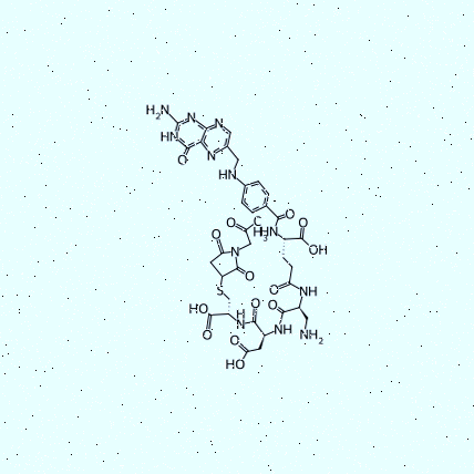 CC(=O)CN1C(=O)CC(SC[C@H](NC(=O)[C@H](CC(=O)O)NC(=O)[C@H](CN)NC(=O)CC[C@H](NC(=O)c2ccc(NCc3cnc4nc(N)[nH]c(=O)c4n3)cc2)C(=O)O)C(=O)O)C1=O